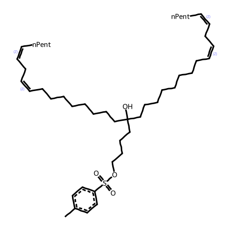 CCCCC/C=C\C/C=C\CCCCCCCCC(O)(CCCCCCCC/C=C\C/C=C\CCCCC)CCCCOS(=O)(=O)c1ccc(C)cc1